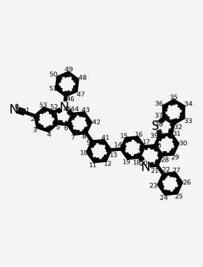 N#Cc1ccc2c3cc(-c4cccc(-c5ccc6c(c5)nc(-c5ccccc5)c5ccc7c8ccccc8sc7c56)c4)ccc3n(-c3ccccc3)c2c1